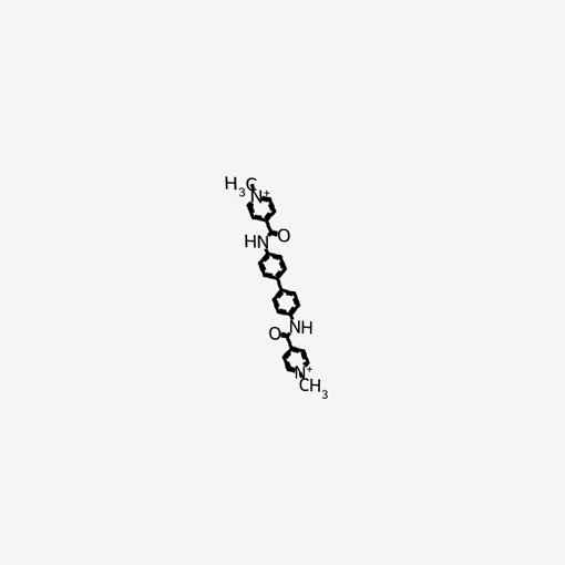 C[n+]1ccc(C(=O)Nc2ccc(-c3ccc(NC(=O)c4cc[n+](C)cc4)cc3)cc2)cc1